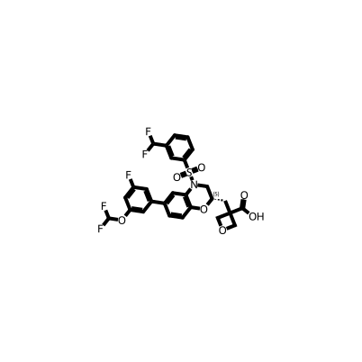 O=C(O)C1(C[C@H]2CN(S(=O)(=O)c3cccc(C(F)F)c3)c3cc(-c4cc(F)cc(OC(F)F)c4)ccc3O2)COC1